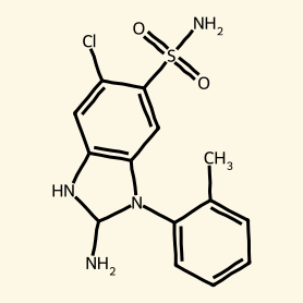 Cc1ccccc1N1c2cc(S(N)(=O)=O)c(Cl)cc2NC1N